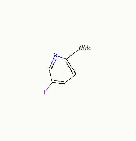 CNc1ccc(I)[c]n1